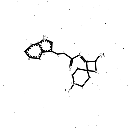 CC1OC2(CCN(C)CC2)/C1=N\C(=O)CCc1c[nH]c2ccccc12